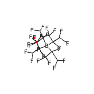 FC(F)C(F)([B-](C(F)(C(F)F)C(F)(F)F)(C(F)(C(F)F)C(F)(F)F)C(F)(C(F)F)C(F)(F)F)C(F)(F)F